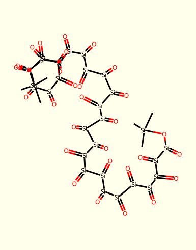 C[Si](C)(C)O[Si](=O)[Si](=O)[Si](=O)[Si](=O)[Si](=O)[Si](=O)[Si](=O)[Si](=O)[Si](=O)[Si](=O)[Si](=O)[Si](=O)[Si](=O)[Si](=O)[Si](=O)[Si](=O)[Si](=O)[Si](=O)[Si](=O)[Si](=O)[Si](=O)[Si](=O)[Si](=O)[Si](=O)[Si](=O)[Si](=O)[Si](=O)[Si](=O)[Si](C)(C)C